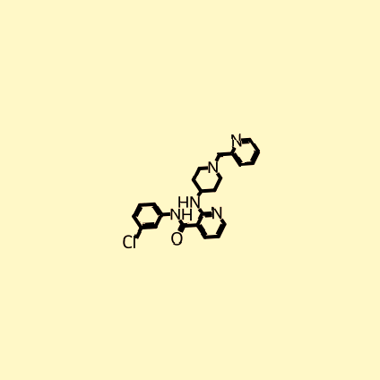 O=C(Nc1cccc(Cl)c1)c1cccnc1NC1CCN(Cc2ccccn2)CC1